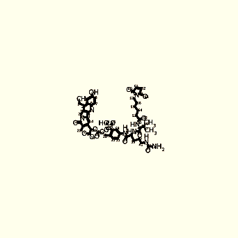 CCc1c2c(nc3ccc(O)cc13)-c1cc3c(c(=O)n1C2)COC(=O)[C@@H]3OC(=O)OCc1ccc(NC(=O)C(CCCNC(N)=O)NC(=O)C(NC(=O)CCCCCN2C(=O)C=CC2=O)C(C)C)cc1S(=O)(=O)O